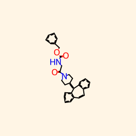 O=C(NCC(=O)N1CCC(=C2c3ccccc3C=Cc3ccccc32)CC1)OCc1ccccc1